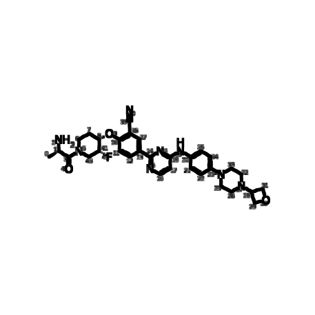 C[C@@H](N)C(=O)N1CC[C@H](Oc2ccc(-c3nccc(Nc4ccc(N5CCN(C6COC6)CC5)cc4)n3)cc2C#N)[C@H](F)C1